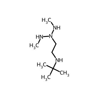 CNN(CCNC(C)(C)C)NC